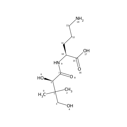 CC(C)(CO)[C@@H](O)C(=O)N[C@@H](CCCN)C(=O)O